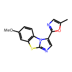 COc1ccc2c(c1)sc1ncc(-c3ncc(C)o3)n12